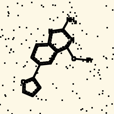 CC(C)Oc1nc(N)nc2ccc(-c3ccco3)cc12